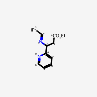 CCOC(=O)CC(N=CC(C)C)c1ccccn1